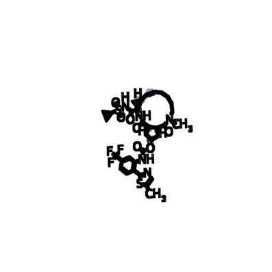 Cc1cnc(-c2ccc(C(F)(F)F)cc2NC(=O)O[C@@H]2C[C@H]3C(=O)N[C@]4(C(=O)NS(=O)(=O)C5CC5)C[C@H]4/C=C\CCCCN(C)C(=O)[C@@H]3C2)s1